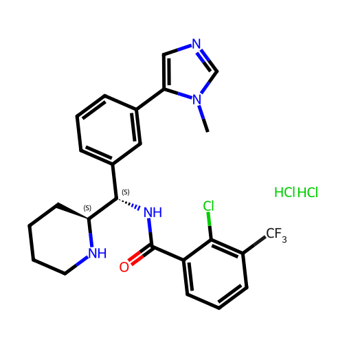 Cl.Cl.Cn1cncc1-c1cccc([C@H](NC(=O)c2cccc(C(F)(F)F)c2Cl)[C@@H]2CCCCN2)c1